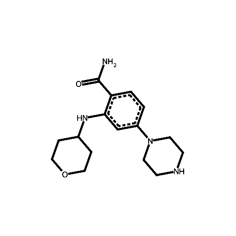 NC(=O)c1ccc(N2CCNCC2)cc1NC1CCOCC1